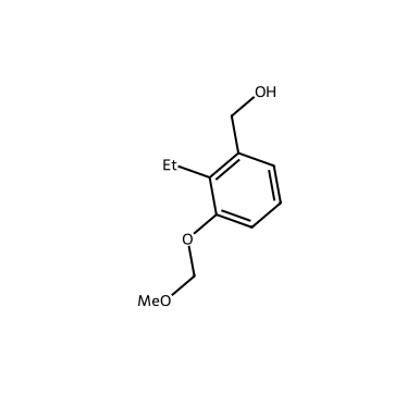 CCc1c(CO)cccc1OCOC